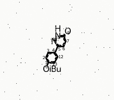 CC(C)COc1ccc(-c2ccc(=O)[nH]n2)cc1